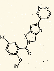 CC(C)Oc1ccc(C#N)cc1C(=O)N1Cc2cn(-c3ccnnc3)nc2C1